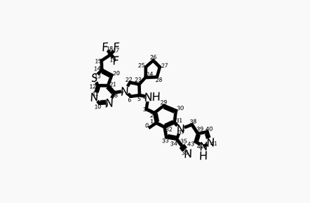 Cc1c(CNC2CN(c3ncnc4sc(CC(F)(F)F)cc34)CC2C2CCCC2)ccc2c1cc(C#N)n2Cc1cn[nH]c1